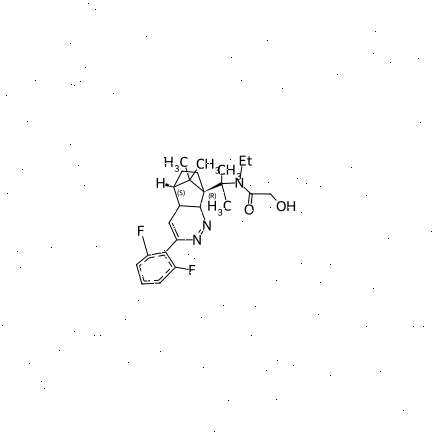 CCN(C(=O)CO)C(C)(C)[C@@]12CC[C@@H](C3C=C(c4c(F)cccc4F)N=NC31)C2(C)C